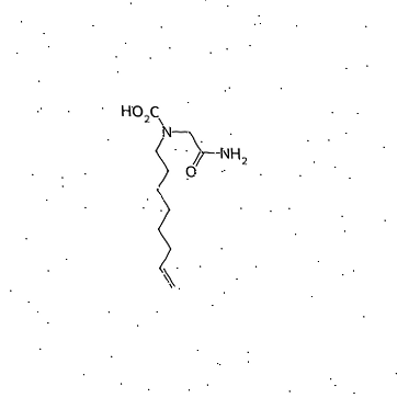 C=CCCCCCCN(CC(N)=O)C(=O)O